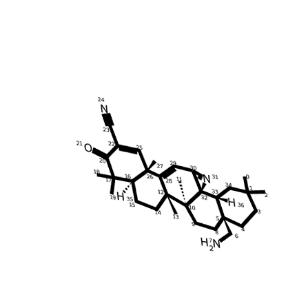 CC1(C)CC[C@]2(CN)CC[C@@]3(C)[C@]4(C)CC[C@H]5C(C)(C)C(=O)C(C#N)=C[C@]5(C)C4=CC4=N[C@]43[C@@H]2C1